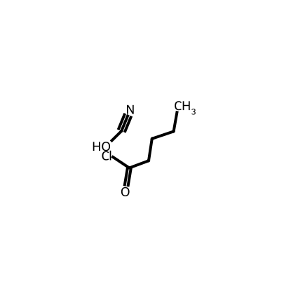 CCCCC(=O)Cl.N#CO